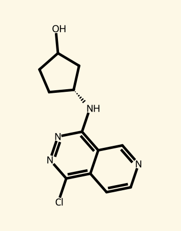 OC1CC[C@@H](Nc2nnc(Cl)c3ccncc23)C1